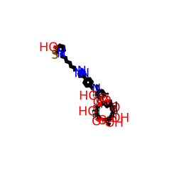 CC[C@H]1OC(=O)[C@H](C)[C@@H](O)[C@H](C)[C@@H](O[C@@H]2O[C@H](C)C[C@H](N(C)Cc3ccc(-c4cn(CCCCCCCn5cccc(O)c5=S)nn4)cc3)[C@H]2O)[C@@]2(C)C[C@@H](CO2)C(=O)[C@H](C)[C@@H](O)[C@]1(C)O